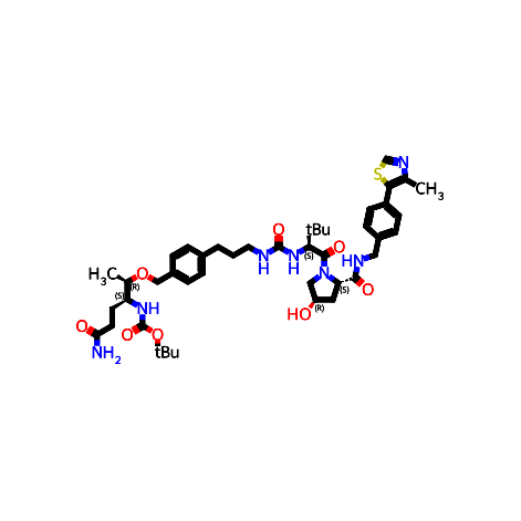 Cc1ncsc1-c1ccc(CNC(=O)[C@@H]2C[C@@H](O)CN2C(=O)[C@@H](NC(=O)NCCCc2ccc(CO[C@H](C)[C@H](CCC(N)=O)NC(=O)OC(C)(C)C)cc2)C(C)(C)C)cc1